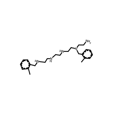 Cc1ccccc1CNCCNCCNCCN(CCN)Cc1ccccc1C